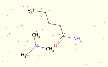 CCCCC(N)=O.CN(C)C